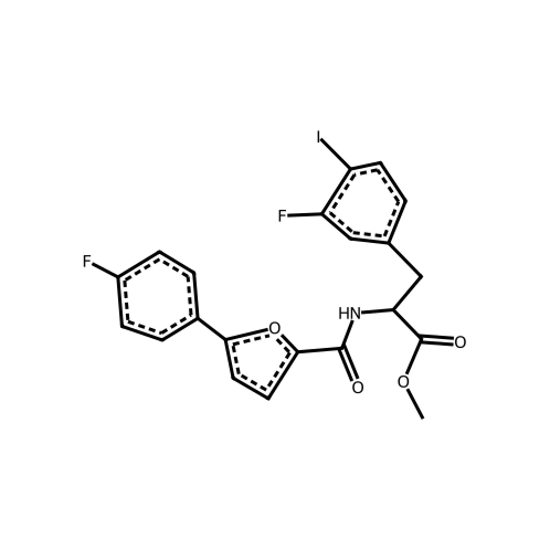 COC(=O)C(Cc1ccc(I)c(F)c1)NC(=O)c1ccc(-c2ccc(F)cc2)o1